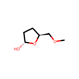 COC[C@@H]1CC[C@@H](O)O1